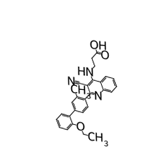 CCOc1ccccc1-c1ccc(-c2nc3ccccc3c(NCCC(=O)O)c2C#N)c(C)c1